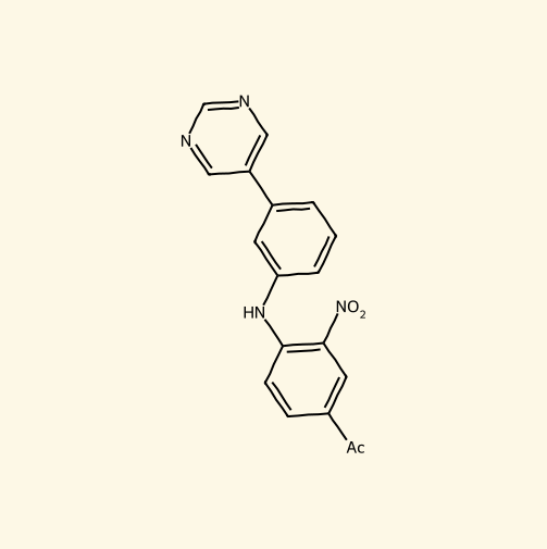 CC(=O)c1ccc(Nc2cccc(-c3cncnc3)c2)c([N+](=O)[O-])c1